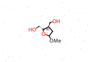 COC1C[C@H](CO)[C@@H](CO)O1